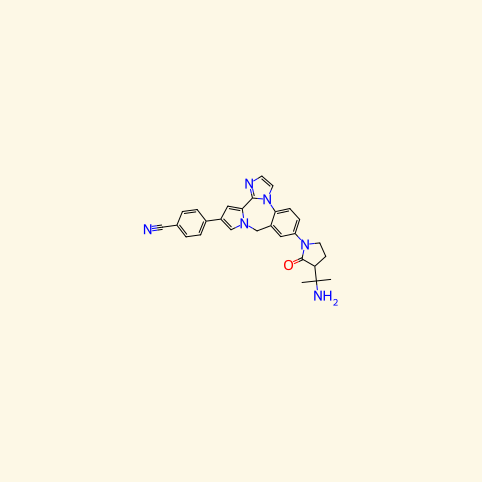 CC(C)(N)C1CCN(c2ccc3c(c2)Cn2cc(-c4ccc(C#N)cc4)cc2-c2nccn2-3)C1=O